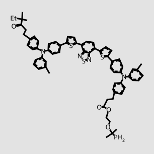 CCC(C)(C)C(=O)CCc1ccc(N(c2ccc(-c3ccc(-c4ccc(-c5ccc(-c6ccc(N(c7ccc(CCC(=O)OCCOC(C)(C)P)cc7)c7cccc(C)c7)cc6)s5)c5nsnc45)s3)cc2)c2cccc(C)c2)cc1